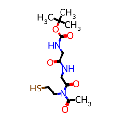 CC(=O)N(CCS)C(=O)CNC(=O)CNC(=O)OC(C)(C)C